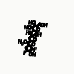 Cc1c(CC(=O)NC2C(O)OC(CO)[C@@H](O)[C@@H]2O)c(=O)oc2c(F)c(O)c(F)cc12